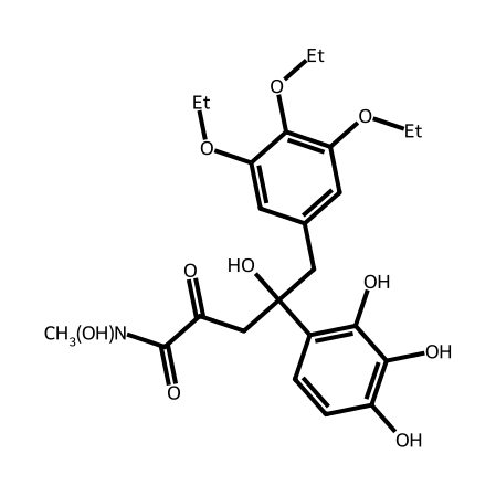 CCOc1cc(CC(O)(CC(=O)C(=O)N(C)O)c2ccc(O)c(O)c2O)cc(OCC)c1OCC